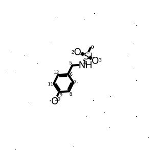 CS(=O)(=O)NCc1ccc([O])cc1